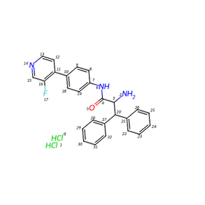 Cl.Cl.NC(C(=O)Nc1ccc(-c2ccncc2F)cc1)C(c1ccccc1)c1ccccc1